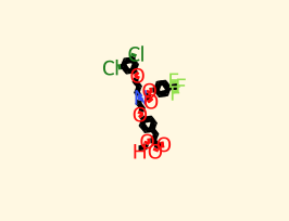 CCOC(Cc1ccc(OCCN(CCCOc2cc(Cl)cc(Cl)c2)C(=O)Oc2ccc(C(F)(F)F)cc2)cc1)C(=O)O